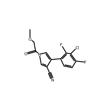 COCC(=O)n1cc(C#N)c(-c2ccc(F)c(Cl)c2F)c1